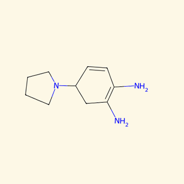 NC1=C(N)CC(N2CCCC2)C=C1